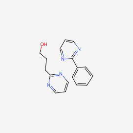 OCCCc1ncccn1.c1ccc(-c2ncccn2)cc1